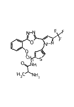 COc1ccccc1-c1nnc(-c2cc(C(F)(F)F)nn2-c2csc(CNC(=O)C(C)N)c2)o1